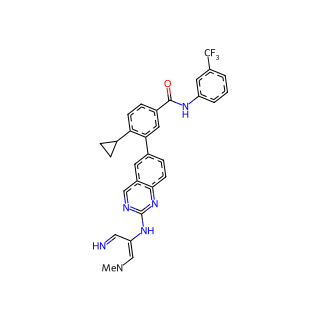 CN/C=C(\C=N)Nc1ncc2cc(-c3cc(C(=O)Nc4cccc(C(F)(F)F)c4)ccc3C3CC3)ccc2n1